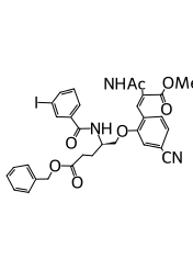 COC(=O)C(=Cc1ccc(C#N)cc1OC[C@@H](CCC(=O)OCc1ccccc1)NC(=O)c1cccc(I)c1)NC(C)=O